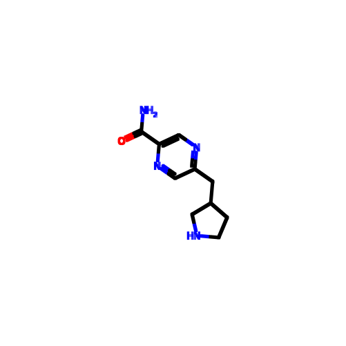 NC(=O)c1cnc(CC2CCNC2)cn1